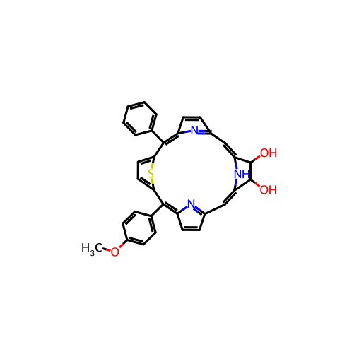 COc1ccc(-c2c3nc(cc4[nH]c(cc5nc(c(-c6ccccc6)c6ccc2s6)C=C5)C(O)C4O)C=C3)cc1